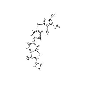 CN1C(=O)CN(Cc2ccc(-c3ccc4c(c3)CN(C3CCC3)C4=O)cc2)C1=O